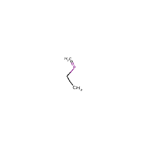 C=PCC